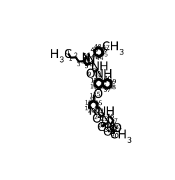 CCCCc1cc(NC(=O)Nc2ccc(OCc3ccnc(NC(=O)N4CCN(S(C)(=O)=O)C4=O)c3)c3ccccc23)n(-c2ccc(C)cc2)n1